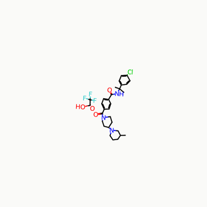 CC1CCCN(C2CCN(C(=O)c3ccc(C(=O)NC(C)(C)c4ccc(Cl)cc4)cc3)CC2)C1.O=C(O)C(F)(F)F